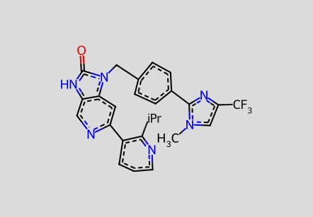 CC(C)c1ncccc1-c1cc2c(cn1)[nH]c(=O)n2Cc1ccc(-c2nc(C(F)(F)F)cn2C)cc1